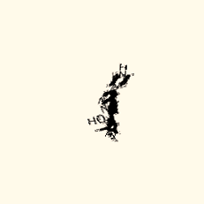 Cc1c(O)c(-c2ccc3cc(N4CCNCC4)cnc3n2)cc2cn(C)nc12